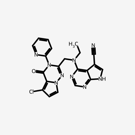 CCN(Cc1nn2ccc(Cl)c2c(=O)n1-c1ccccn1)c1ncnc2[nH]cc(C#N)c12